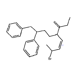 C=C(CC)C(/C=C\C(C)Br)CCC(Cc1ccccc1)c1ccccc1